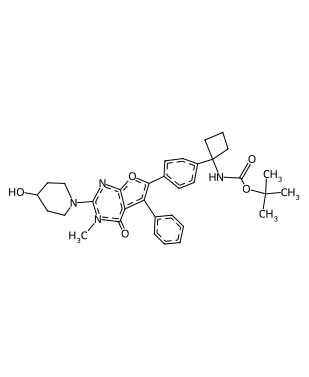 Cn1c(N2CCC(O)CC2)nc2oc(-c3ccc(C4(NC(=O)OC(C)(C)C)CCC4)cc3)c(-c3ccccc3)c2c1=O